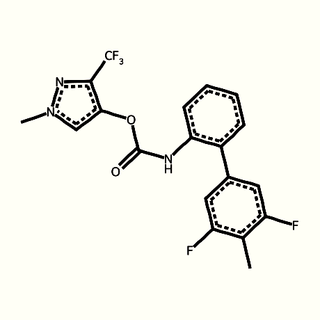 Cc1c(F)cc(-c2ccccc2NC(=O)Oc2cn(C)nc2C(F)(F)F)cc1F